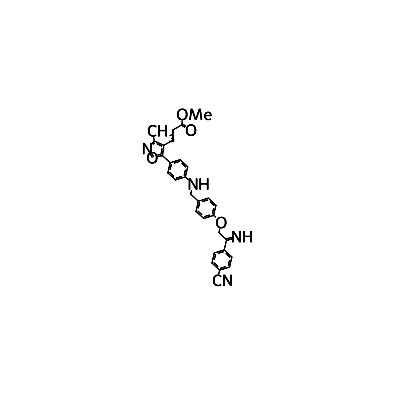 COC(=O)CCc1c(C)noc1-c1ccc(NCc2ccc(OCC(=N)c3ccc(C#N)cc3)cc2)cc1